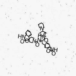 O=C1Nc2ccccc2C2(CCN(C(=O)N[C@H](Cc3ccc4[nH]c(=O)oc4c3)C(=O)N3CCC(N4CCCCC4)CC3)CC2)O1